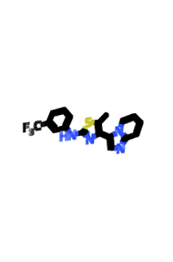 Cc1sc(Nc2cccc(C(F)(F)F)c2)nc1-c1cnc2ccccn12